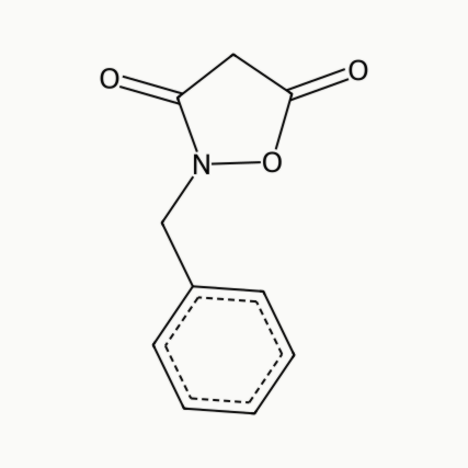 O=C1CC(=O)N(Cc2ccccc2)O1